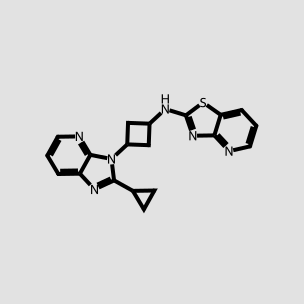 c1cnc2c(c1)nc(C1CC1)n2C1CC(Nc2nc3ncccc3s2)C1